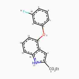 CCOC(=O)c1cc2c(Oc3cccc(F)c3)cccc2[nH]1